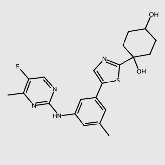 Cc1cc(Nc2ncc(F)c(C)n2)cc(-c2cnc(C3(O)CCC(O)CC3)s2)c1